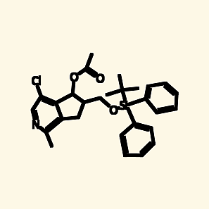 CC(=O)OC1c2c(Cl)cnc(C)c2CC1CO[Si](c1ccccc1)(c1ccccc1)C(C)(C)C